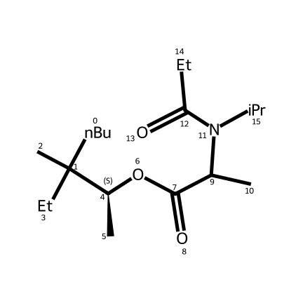 CCCCC(C)(CC)[C@H](C)OC(=O)C(C)N(C(=O)CC)C(C)C